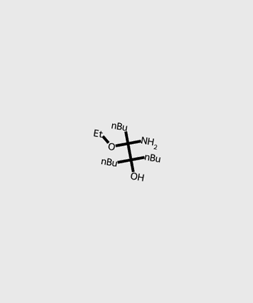 CCCCC(O)(CCCC)C(N)(CCCC)OCC